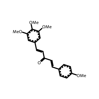 COc1ccc(/C=C/C(=O)/C=C/c2cc(OC)c(OC)c(OC)c2)cc1